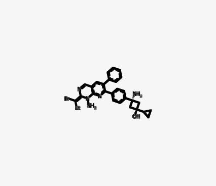 CC/C(Br)=C1/N=Cc2cc(-c3ccccc3)c(-c3ccc([C@]4(N)C[C@@](O)(C5CC5)C4)cc3)nc2N1N